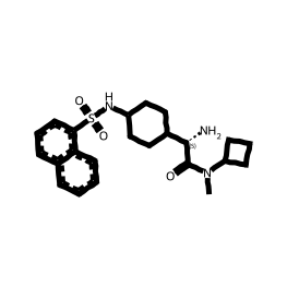 CN(C(=O)[C@@H](N)C1CCC(NS(=O)(=O)c2cccc3ccccc23)CC1)C1CCC1